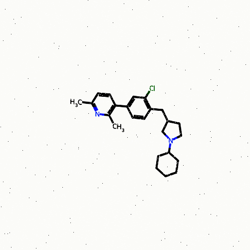 Cc1ccc(-c2ccc(CC3CCN(C4CCCCC4)C3)c(Cl)c2)c(C)n1